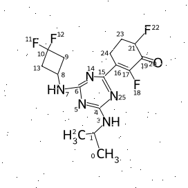 CC(C)Nc1nc(NC2CC(F)(F)C2)nc(C2=C(F)C(=O)C(F)CC2)n1